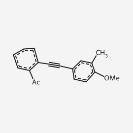 COc1ccc(C#Cc2ccccc2C(C)=O)cc1C